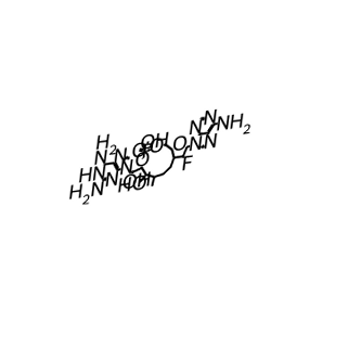 CC1CCC2C(COP(=O)(O)OC(C(O)n3cnc4c3N=C(N)NC4N)C1O)OC(n1cnc3c(N)ncnc31)C2F